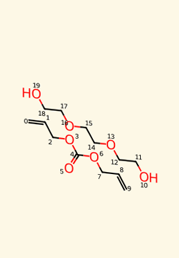 C=CCOC(=O)OCC=C.OCCOCCOCCO